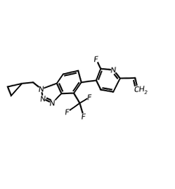 C=Cc1ccc(-c2ccc3c(nnn3CC3CC3)c2C(F)(F)F)c(F)n1